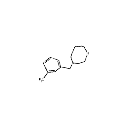 FC(F)(F)c1cccc(CN2CCC[N]CC2)c1